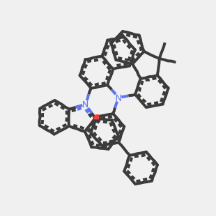 CC1(C)c2ccccc2-c2c(N(c3cccc(-c4ccccc4)c3)c3c(-n4c5ccccc5c5ccccc54)ccc4ccccc34)cccc21